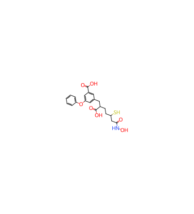 O=C(CC(S)CCC(Cc1cc(Oc2ccccc2)cc(C(=O)O)c1)C(=O)O)NO